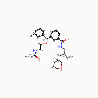 CN[C@H](CNC(=O)c1cccc([C@H](OCCNC(=O)OC)c2cccc(C)c2)c1)C[C@H]1CCCOC1